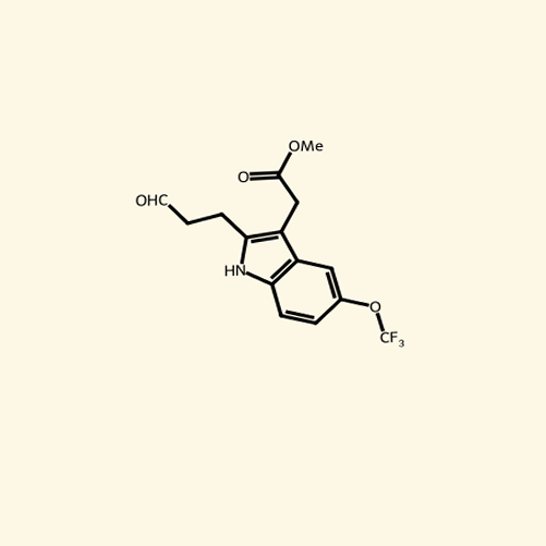 COC(=O)Cc1c(CCC=O)[nH]c2ccc(OC(F)(F)F)cc12